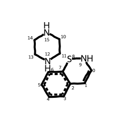 C1=Cc2ccccc2SN1.C1CNCCN1